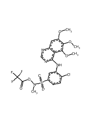 COc1cc2ncnc(Nc3cc(S(=O)(=O)N(C)OC(=O)C(F)(F)F)ccc3Cl)c2c(OC)c1OC